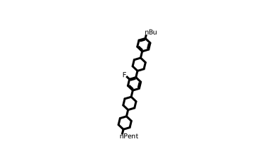 CCCCCC1CCC(C2CCC(c3ccc(C4CCC(c5ccc(CCCC)cc5)CC4)c(F)c3)CC2)CC1